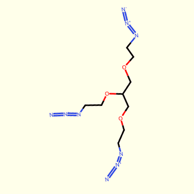 [N-]=[N+]=NCCOCC(COCCN=[N+]=[N-])OCCN=[N+]=[N-]